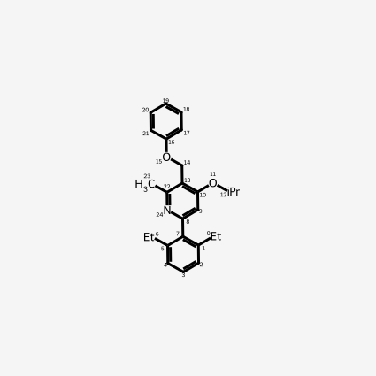 CCc1cccc(CC)c1-c1cc(OC(C)C)c(COc2ccccc2)c(C)n1